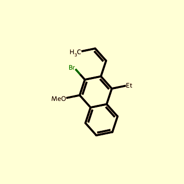 C/C=C\c1c(Br)c(OC)c2ccccc2c1CC